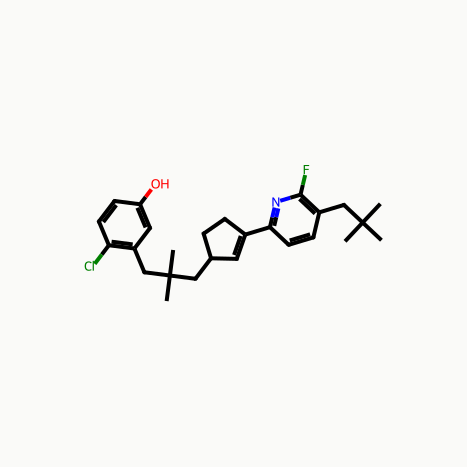 CC(C)(C)Cc1ccc(C2=CC(CC(C)(C)Cc3cc(O)ccc3Cl)CC2)nc1F